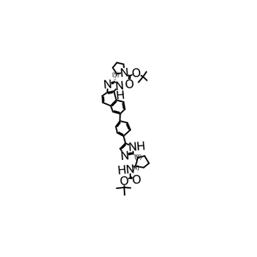 CC(C)(C)OC(=O)N[C@@H]1CCC[C@H]1c1ncc(-c2ccc(-c3ccc4c(ccc5nc([C@@H]6CCCN6C(=O)OC(C)(C)C)[nH]c54)c3)cc2)[nH]1